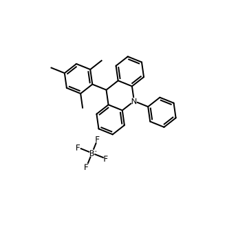 Cc1cc(C)c(C2c3ccccc3N(c3ccccc3)c3ccccc32)c(C)c1.F[B-](F)(F)F